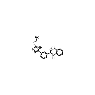 CC(=O)CSc1nnc(-c2cccc(C(=O)Nc3ccccc3Cl)c2)[nH]1